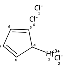 [Cl-].[Cl-].[Cl-].[Hf+3][CH]1C=CC=C1